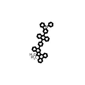 CC1(C)c2c(cc(-c3ccc(-c4c5ccccc5c(-c5ccc6c(c5)c5ccccc5n6-c5ccccc5)c5ccccc45)cc3)c3ccccc23)-c2c1c1ccccc1c1ccccc21